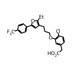 CCc1oc(-c2ccc(C(F)(F)F)cc2)cc1CCCOc1cc(CC(=O)O)ccc1Cl